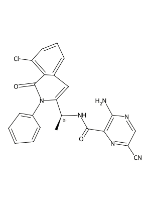 C[C@H](NC(=O)c1nc(C#N)cnc1N)c1cc2cccc(Cl)c2c(=O)n1-c1ccccc1